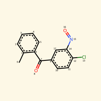 Cc1ccccc1C(=O)c1ccc(Cl)c(N=O)c1